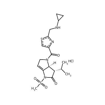 CC(C)[C@@H]1C(=O)N(S(C)(=O)=O)C2=CCN(C(=O)c3csc(CNC4CC4)n3)[C@H]21.Cl